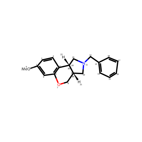 COc1ccc2c(c1)OC[C@H]1CN(Cc3ccccc3)C[C@@H]21